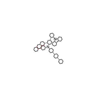 c1ccc(-c2ccc(-c3ccc(N(c4ccc(-c5ccccc5)cc4)c4ccc(-c5ccccc5-n5c6ccccc6c6ccccc65)cc4-c4ccc5ccccc5c4)cc3)cc2)cc1